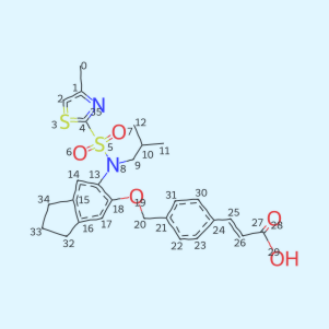 Cc1csc(S(=O)(=O)N(CC(C)C)c2cc3c(cc2OCc2ccc(/C=C/C(=O)O)cc2)CCC3)n1